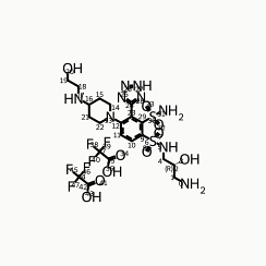 NC[C@@H](O)CNS(=O)(=O)c1ccc(N2CCC(NCCO)CC2)c(-c2nn[nH]n2)c1S(N)(=O)=O.O=C(O)C(F)(F)F.O=C(O)C(F)(F)F